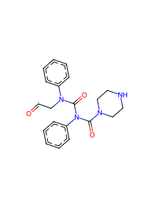 O=[C]CN(C(=O)N(C(=O)N1CCNCC1)c1ccccc1)c1ccccc1